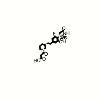 O=C(O)CC(=O)N1CCC[C@H](CCc2cc(O)c(N3CC(=O)NS3(=O)=O)c(F)c2)C1